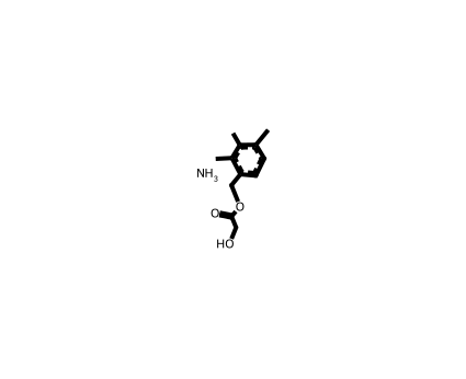 Cc1ccc(COC(=O)CO)c(C)c1C.N